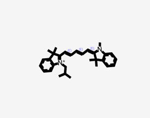 CC(C)C[N+]1=C(/C=C/C=C/C=C2/N(C)c3ccccc3C2(C)C)C(C)(C)c2ccccc21